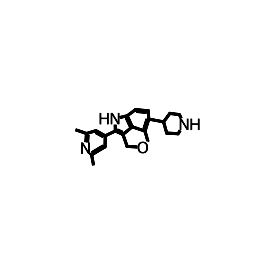 Cc1cc(-c2[nH]c3ccc(C4CCNCC4)c4c3c2COC4)cc(C)n1